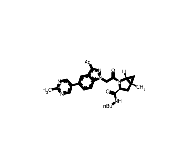 CCCCNC(=O)[C@@H]1C[C@@]2(C)C[C@H]2N1C(=O)Cn1nc(C(C)=O)c2cc(-c3cnc(C)nc3)ccc21